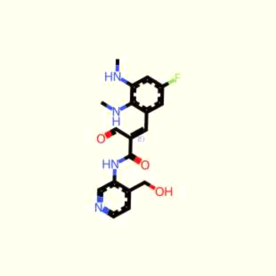 CNc1cc(F)cc(/C=C(\C=O)C(=O)Nc2cnccc2CO)c1NC